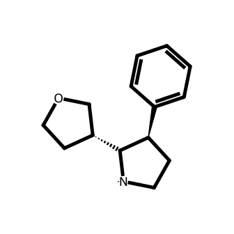 c1ccc([C@H]2CC[N]C2[C@@H]2CCOC2)cc1